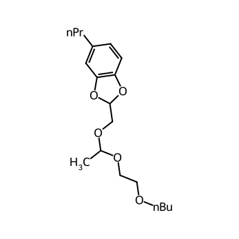 CCCCOCCOC(C)OCC1Oc2ccc(CCC)cc2O1